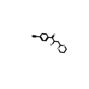 N#Cc1ccc(C(=O)C(Br)CC2OCCCO2)cc1